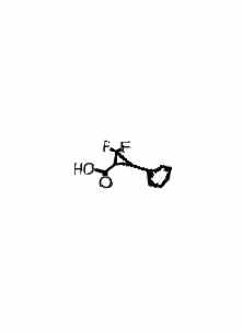 O=C(O)C1C(c2ccccc2)C1(F)F